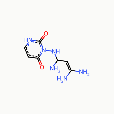 NC(N)=CC(N)Nn1c(=O)cc[nH]c1=O